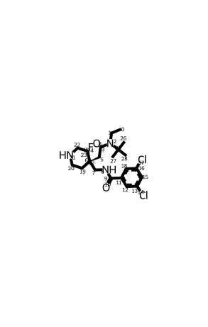 CCN(C(=O)C[C@@]1(CNC(=O)c2cc(Cl)cc(Cl)c2)CCNC[C@H]1F)C(C)(C)C